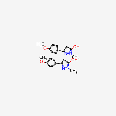 COc1ccc(-c2cc(O)n(C)n2)cc1.COc1ccc(-c2cc(O)n(C)n2)cc1